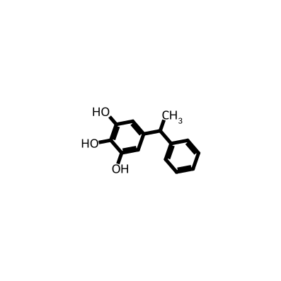 CC(c1ccccc1)c1cc(O)c(O)c(O)c1